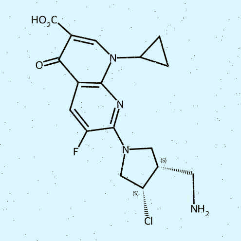 NC[C@H]1CN(c2nc3c(cc2F)c(=O)c(C(=O)O)cn3C2CC2)C[C@H]1Cl